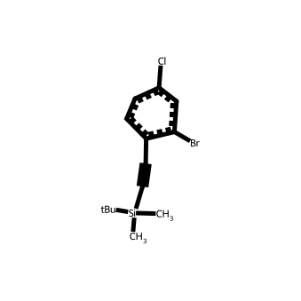 CC(C)(C)[Si](C)(C)C#Cc1ccc(Cl)cc1Br